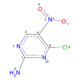 Nc1ncc([N+](=O)[O-])c(Cl)n1